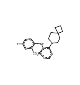 O=C(O)c1cc(F)ccc1Nc1cncnc1N1CCC2(CCC2)CC1